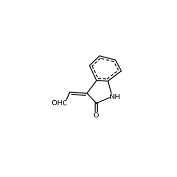 O=CC=C1C(=O)Nc2ccccc21